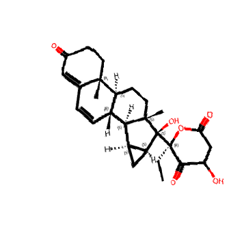 CC[C@]1([C@]2(O)[C@H]3C[C@H]3[C@H]3[C@@H]4C=CC5=CC(=O)CC[C@]5(C)[C@H]4CC[C@@]32C)OC(=O)CC(O)C1=O